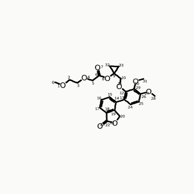 COCCOCC(=O)OC1(COc2c(-c3cccc4c3COC4=O)ccc(OC)c2OC)CC1